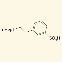 CCCCCCCCCc1cccc(S(=O)(=O)O)c1